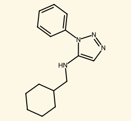 c1ccc(-n2nncc2NCC2CCCCC2)cc1